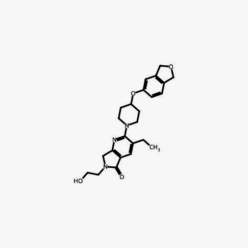 CCc1cc2c(nc1N1CCC(Oc3ccc4c(c3)COC4)CC1)CN(CCO)C2=O